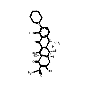 C[C@H]1c2ccc(N3CCCCC3)c(O)c2C(=O)C2=C(O)[C@]3(O)C(=O)C(C(N)=O)=C(O)C[C@@H]3[C@@H](O)[C@@H]21